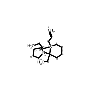 C=CC[Si]1(CCC)CCCCC1(CC)N1CCCC1